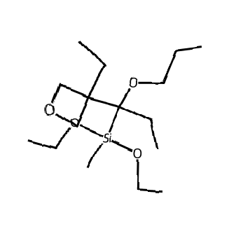 CCCOC(CC)(C1(CC)COC1)[Si](C)(OCC)OCC